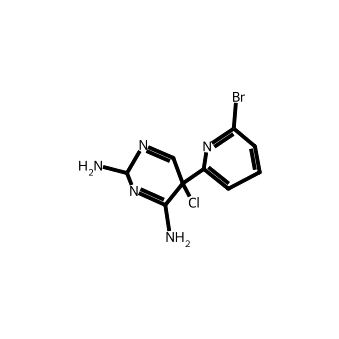 NC1=NC(N)N=CC1(Cl)c1cccc(Br)n1